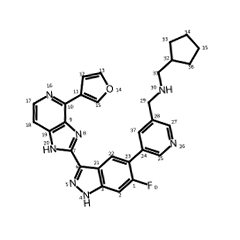 Fc1cc2[nH]nc(-c3nc4c(-c5ccoc5)nccc4[nH]3)c2cc1-c1cncc(CNCC2CCCC2)c1